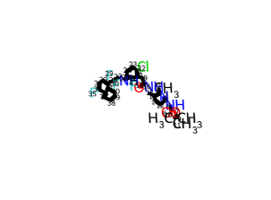 Cc1nc(NC(=O)OC(C)(C)C)ccc1CNC(=O)Cc1c(Cl)ccc(NCC(F)(F)c2ccc(F)c3ccccc23)c1F